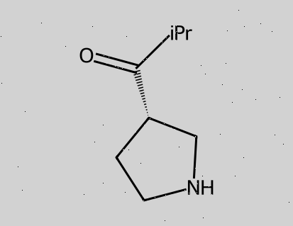 CC(C)C(=O)[C@H]1CCNC1